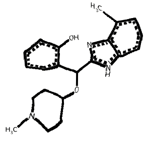 Cc1cccc2[nH]c(C(OC3CCN(C)CC3)c3ccccc3O)nc12